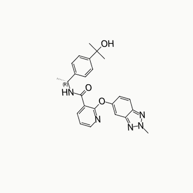 C[C@@H](NC(=O)c1cccnc1Oc1ccc2nn(C)nc2c1)c1ccc(C(C)(C)O)cc1